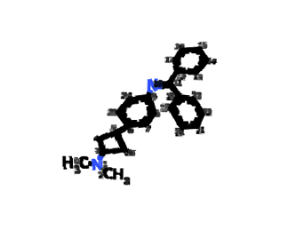 CN(C)C1CC(c2ccc(N=C(c3ccccc3)c3ccccc3)cc2)C1